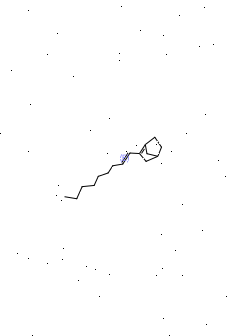 CCCCCCC/C=C/C1=C2CCC(C1)C2